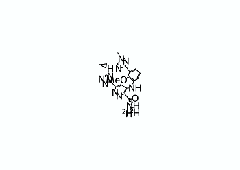 [2H]C([2H])([2H])NC(=O)c1nnc(-c2nnc(C3CC3)[nH]2)cc1Nc1cccc(-c2ncn(C)n2)c1OC